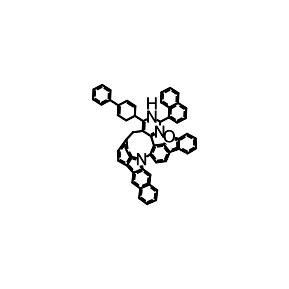 C1=CC(C2=C3Cc4ccc5c6cc7ccccc7cc6n(c5c4)-c4ccc5c(oc6ccccc65)c4C3=NC(c3cccc4ccccc34)N2)CC=C1c1ccccc1